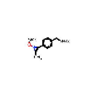 CSON1C(C)=C1c1ccc(CNC(C)=O)cc1